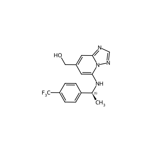 C[C@H](Nc1cc(CO)cc2ncnn12)c1ccc(C(F)(F)F)cc1